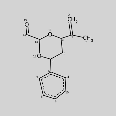 C=C(C)C1CC(c2ccccc2)OC(C=O)O1